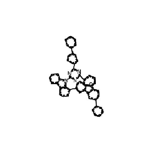 c1ccc(-c2ccc(-c3nc(-c4ccccc4)nc(-n4c5ccccc5c5cccc(-c6ccc7oc8ccc(-c9ccccc9)cc8c7c6)c54)n3)cc2)cc1